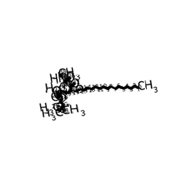 CCCCCCCCCCCCCCCCOC[C@@H](CCP(=O)([O-])OCC[N+](C)(C)C)C(=O)N(C)C(=O)NC